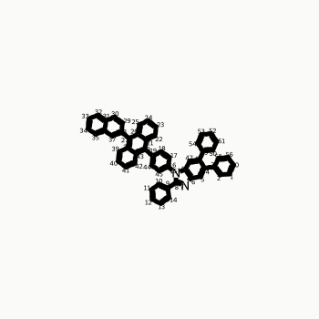 c1ccc(-c2cc3nc(-c4ccccc4)n(-c4ccc(-c5c6ccccc6c(-c6ccc7ccccc7c6)c6ccccc56)cc4)c3cc2-c2ccccc2)cc1